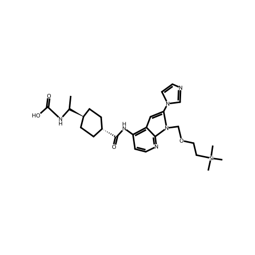 CC(NC(=O)O)[C@H]1CC[C@H](C(=O)Nc2ccnc3c2cc(-n2ccnc2)n3COCC[Si](C)(C)C)CC1